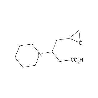 O=C(O)CC(CC1CO1)N1CCCCC1